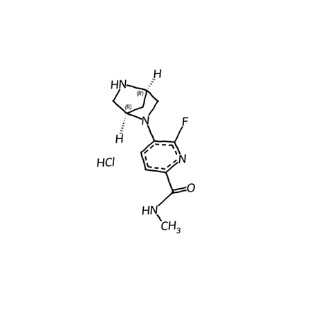 CNC(=O)c1ccc(N2C[C@H]3C[C@@H]2CN3)c(F)n1.Cl